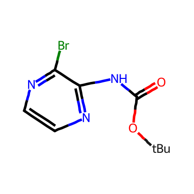 CC(C)(C)OC(=O)Nc1nccnc1Br